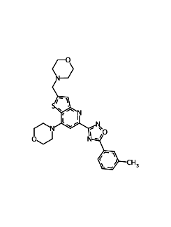 Cc1cccc(-c2nc(-c3cc(N4CCOCC4)c4sc(CN5CCOCC5)cc4n3)no2)c1